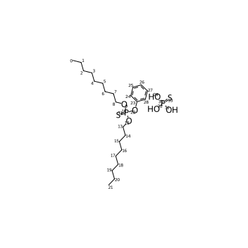 CCCCCCCCCOP(=S)(OCCCCCCCCC)Oc1ccccc1.OP(O)(O)=S